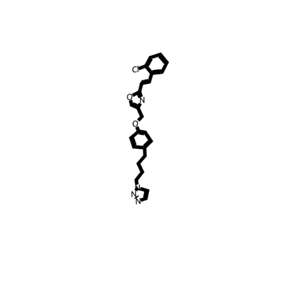 Clc1ccccc1C=Cc1nc(COc2ccc(CCCCn3ccnn3)cc2)co1